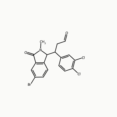 CN1C(=O)c2cc(Br)ccc2C1C(CC=O)c1ccc(Cl)c(Cl)c1